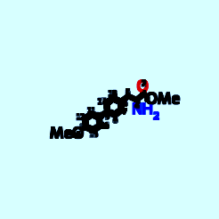 COC(=O)C(N)Cc1ccc(-c2ccc(OC)cc2)cc1